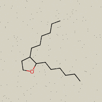 CCCCCCC1CCOC1CCCCCC